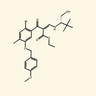 CCOC(=O)/C(=C\N[C@H](CO)C(C)(C)C)C(=O)c1cc(OCc2ccc(OC)cc2)c(C)cc1Br